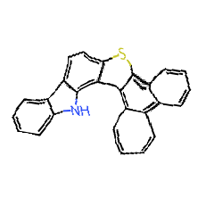 c1ccc2c(c1)[nH]c1c2ccc2sc3c4ccccc4c4ccccc4c3c21